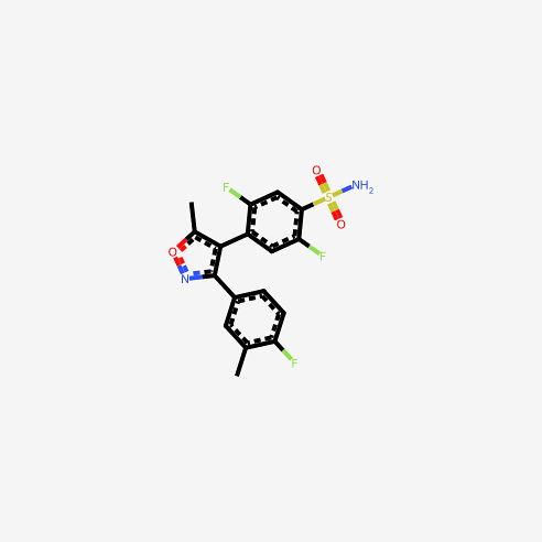 Cc1cc(-c2noc(C)c2-c2cc(F)c(S(N)(=O)=O)cc2F)ccc1F